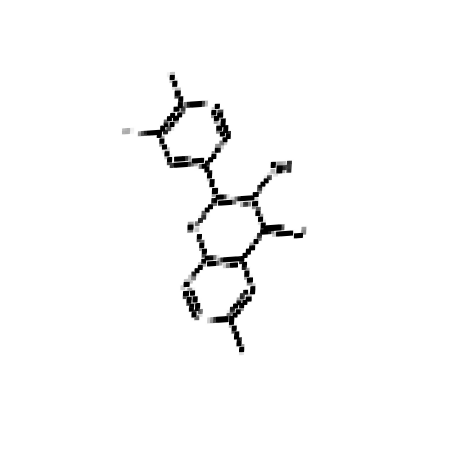 Cc1ccc2oc(-c3ccc(C)c(C)c3)c(O)c(=O)c2c1